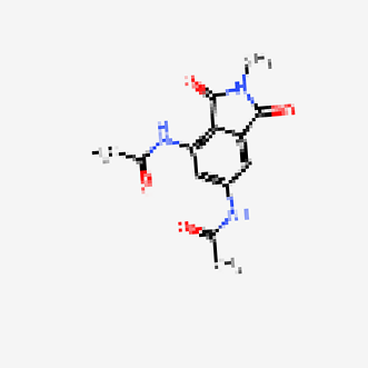 CC(=O)Nc1cc(NC(C)=O)c2c(c1)C(=O)N(C)C2=O